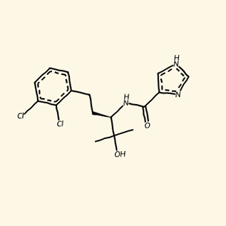 CC(C)(O)[C@@H](CCc1cccc(Cl)c1Cl)NC(=O)c1c[nH]cn1